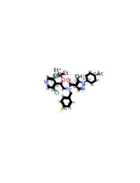 CC[Si](CC)(CC)OC(CN(Cc1ccc(F)cc1)C(=O)c1cnn([C@H]2CC[C@H](C(C)=O)CC2)c1C)c1c(Cl)cncc1Cl